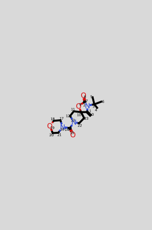 C=C1N(C(C)(C)C)C(=O)OC12CCN(C(=O)N1CCOCC1)CC2